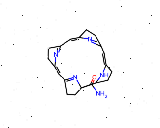 NC(=O)C12CCC(=N1)C=C1CCC(=N1)C=C1CCC(=N1)C=C1CCC2N1